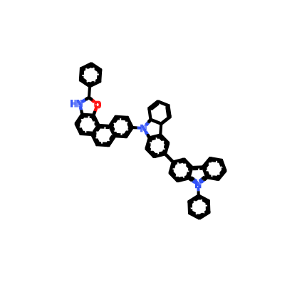 C1=CC2c3cc(-c4ccc5c(c4)c4ccccc4n5-c4ccccc4)ccc3N(c3ccc4c(ccc5ccc6c(c54)OC(c4ccccc4)N6)c3)C2C=C1